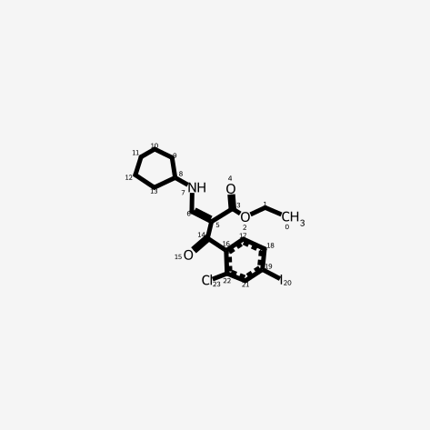 CCOC(=O)/C(=C\NC1CCCCC1)C(=O)c1ccc(I)cc1Cl